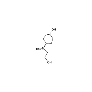 CC(C)(C)N(CCO)[C@H]1CC[C@H](O)CC1